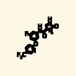 CN1C(=O)NCC1C(=O)Nc1cc(F)cc(Oc2ccc(C(F)(F)F)cn2)c1